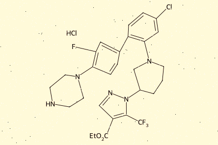 CCOC(=O)c1cnn(C2CCCN(c3cc(Cl)ccc3-c3ccc(N4CCNCC4)c(F)c3)C2)c1C(F)(F)F.Cl